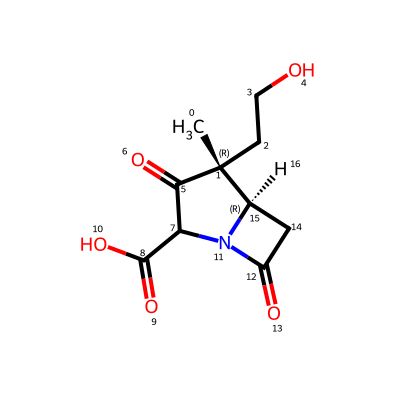 C[C@]1(CCO)C(=O)C(C(=O)O)N2C(=O)C[C@@H]21